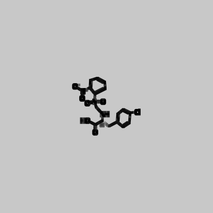 O=C(O)[C@@H](Cc1ccc(Cl)cc1)NCS(=O)(=O)c1ccccc1[N+](=O)[O-]